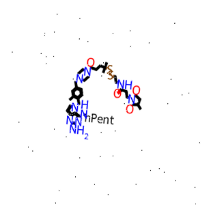 CCCCCNc1nc(N)nc2ccn(Cc3ccc(CN4CCN(C(=O)CCC(C)(C)SSCCNC(=O)CCN5C(=O)CC(C)C5=O)CC4)cc3C)c12